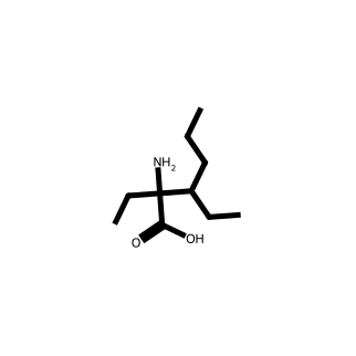 CCCC(CC)C(N)(CC)C(=O)O